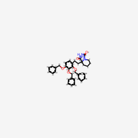 NC(=O)N1CCCCC1(CCc1ccc(OCc2ccccc2)c(OCc2ccccc2)c1OCc1ccccc1)C(N)=O